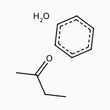 CCC(C)=O.O.c1ccccc1